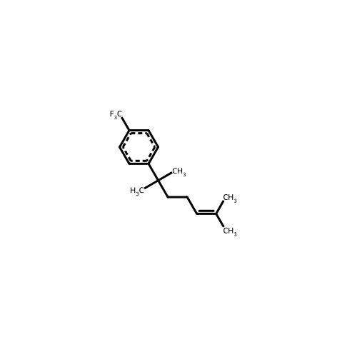 CC(C)=CCCC(C)(C)c1ccc(C(F)(F)F)cc1